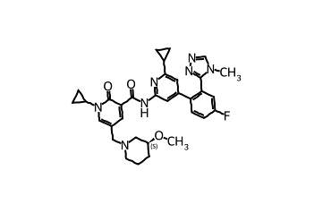 CO[C@H]1CCCN(Cc2cc(C(=O)Nc3cc(-c4ccc(F)cc4-c4nncn4C)cc(C4CC4)n3)c(=O)n(C3CC3)c2)C1